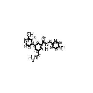 Cc1cc(-c2cc(CN)cc(C(=O)NCc3ccc(Cl)cn3)c2)ccn1